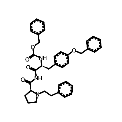 O=C(N[C@@H](Cc1ccc(OCc2ccccc2)cc1)C(=O)NC(=O)[C@@H]1CCCN1CCc1ccccc1)OCc1ccccc1